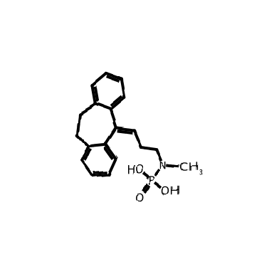 CN(CCC=C1c2ccccc2CCc2ccccc21)P(=O)(O)O